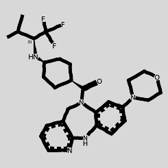 CC(C)[C@H](N[C@H]1CC[C@@H](C(=O)N2Cc3cccnc3Nc3ccc(N4CCOCC4)cc32)CC1)C(F)(F)F